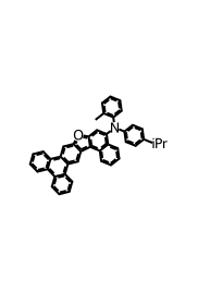 Cc1ccccc1N(c1ccc(C(C)C)cc1)c1cc2oc3cc4c5ccccc5c5ccccc5c4cc3c2c2ccccc12